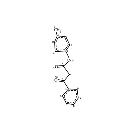 Cc1ccc(NC(=O)CC(=O)c2ccccc2)cc1